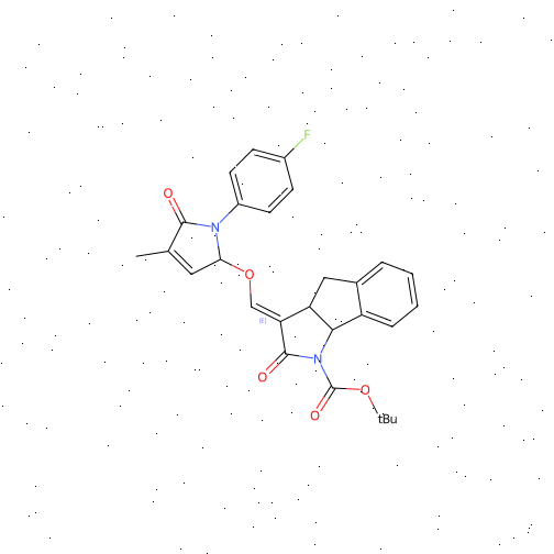 CC1=CC(O/C=C2/C(=O)N(C(=O)OC(C)(C)C)C3c4ccccc4CC23)N(c2ccc(F)cc2)C1=O